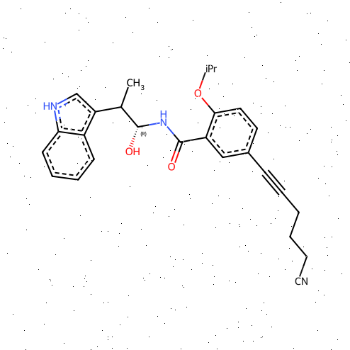 CC(C)Oc1ccc(C#CCCCC#N)cc1C(=O)N[C@H](O)C(C)c1c[nH]c2ccccc12